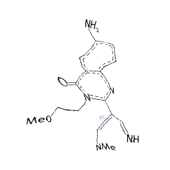 CN/C=C(\C=N)c1nc2ccc(N)cc2c(=O)n1CCOC